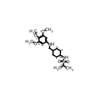 COc1cc(NCC2CCC(NS(=O)(=O)C(C)C)CC2)cc(OC)c1OC